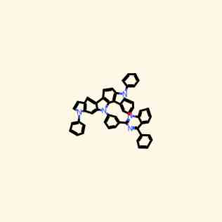 c1ccc(-c2nc(-c3cccc(-n4c5cc6c(ccn6-c6ccccc6)cc5c5ccc6c(c7ccccc7n6-c6ccccc6)c54)c3)nc3ccccc23)cc1